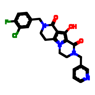 O=C1c2c(O)c3n(c2CCN1Cc1ccc(F)c(Cl)c1)CCN(Cc1cccnc1)C3=O